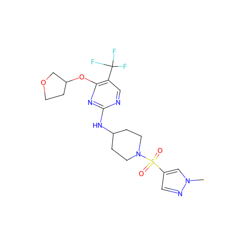 Cn1cc(S(=O)(=O)N2CCC(Nc3ncc(C(F)(F)F)c(OC4CCOC4)n3)CC2)cn1